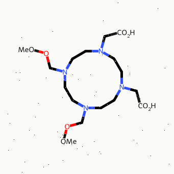 COOCN1CCN(COOC)CCN(CC(=O)O)CCN(CC(=O)O)CC1